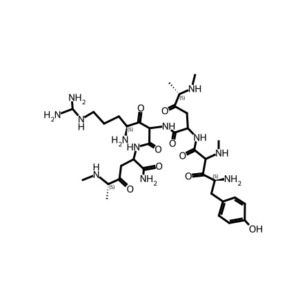 CNC(C(=O)NC(CC(=O)[C@H](C)NC)C(=O)NC(C(=O)NC(CC(=O)[C@H](C)NC)C(N)=O)C(=O)[C@@H](N)CCCNC(N)N)C(=O)[C@@H](N)Cc1ccc(O)cc1